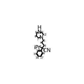 CC(C)C(C#N)(CCCN1CCCNCC1)c1ccccc1